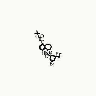 CC(C)(C)OC(=O)COc1cccc2c1CCCCC2NS(=O)(=O)c1cc(Br)cc(C(F)(F)F)c1